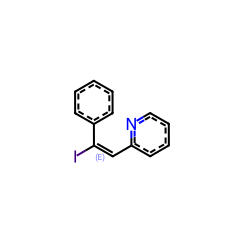 I/C(=C/c1ccccn1)c1ccccc1